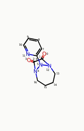 O=c1c(=O)n2n(-c3ccccn3)n1CCCC2